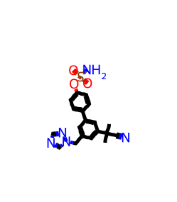 CC(C)(C#N)c1cc(Cn2cncn2)cc(-c2ccc(OS(N)(=O)=O)cc2)c1